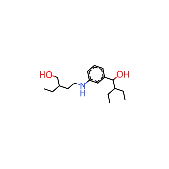 CCC(CO)CCNc1cccc(C(O)C(CC)CC)c1